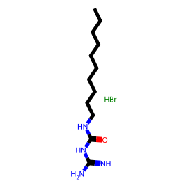 Br.CCCCCCCCCCNC(=O)NC(=N)N